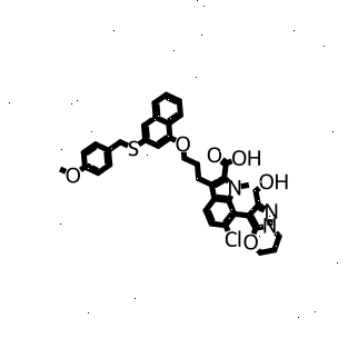 COc1ccc(CSc2cc(OCCCc3c(C(=O)O)n(C)c4c(-c5c(CO)nn6c5OCCC6)c(Cl)ccc34)c3ccccc3c2)cc1